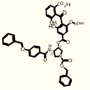 CCCCCCCCCCOc1cc(C(=O)O[C@H]2CN(C(=O)OCc3ccccc3)C[C@@H]2NC(=O)c2ccc(OCc3ccccc3)cc2)cc(O)c1C(=O)c1c(O)cccc1C(=O)O